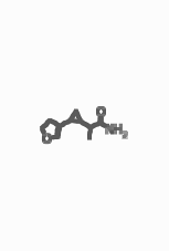 CC(C(N)=O)C1CC1C1=COCC1